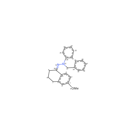 COc1ccc2c(c1)CCC/C2=N/N(Cc1ccccc1)c1ccccc1